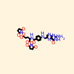 Nc1nc2ncc(CNc3ccc(C(=O)NC(CCC(=O)ON4C(=O)CCC4=O)C(=O)ON4C(=O)CCC4=O)cc3)nc2c(=O)[nH]1